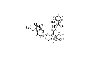 Cn1c(=O)n(CC(C)(C)C)c2ccc(C3CCC(C)(C)C(C(CCNC(=O)c4ccccc4O)c4ccccc4)C3)nc21